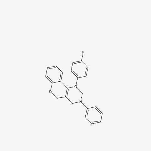 Fc1ccc(N2CN(c3ccccc3)CC3=C2c2ccccc2OC3)cc1